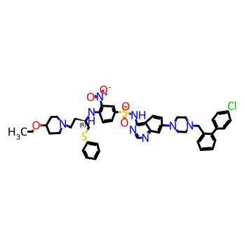 CCOC1CCN(CC[C@H](CSc2ccccc2)Nc2ccc(S(=O)(=O)Nc3ncnc4cc(N5CCN(Cc6ccccc6-c6ccc(Cl)cc6)CC5)ccc34)cc2[N+](=O)[O-])CC1